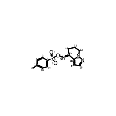 Cc1ccc(S(=O)(=O)O/N=C2\CCCn3nccc32)cc1